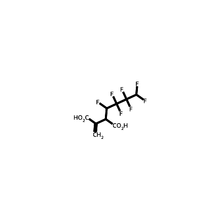 C=C(C(=O)O)C(C(=O)O)C(F)C(F)(F)C(F)(F)C(F)F